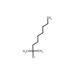 CCCCCCCC(C)(C)Cl